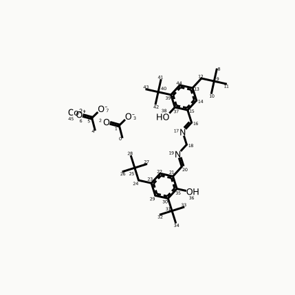 CC(=O)[O-].CC(=O)[O-].CC(C)(C)Cc1cc(C=NCN=Cc2cc(CC(C)(C)C)cc(C(C)(C)C)c2O)c(O)c(C(C)(C)C)c1.[Co+2]